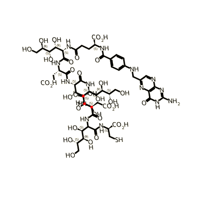 Nc1nc2ncc(CNc3ccc(C(=O)N[C@@H](CCC(=O)N[C@H](C(=O)N[C@@H](CC(=O)O)C(=O)N[C@H](C(=O)N[C@H](C(=O)N[C@@H](CC(=O)O)C(=O)NC(C(=O)N[C@H](CS)C(=O)O)[C@H](O)[C@@H](O)[C@@H](O)CO)[C@H](O)[C@@H](O)[C@@H](O)CO)[C@@H](O)[C@H](O)[C@H](O)CO)[C@@H](O)[C@H](O)[C@H](O)CO)C(=O)O)cc3)nc2c(=O)[nH]1